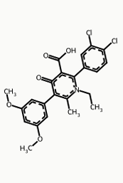 CCn1c(C)c(-c2cc(OC)cc(OC)c2)c(=O)c(C(=O)O)c1-c1ccc(Cl)c(Cl)c1